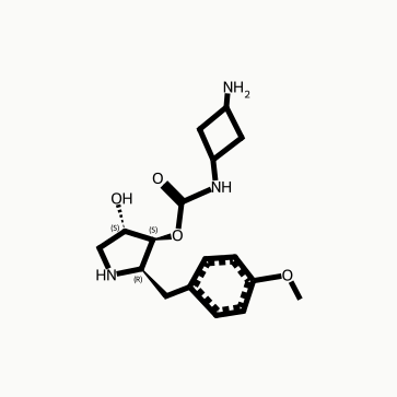 COc1ccc(C[C@H]2NC[C@H](O)[C@H]2OC(=O)NC2CC(N)C2)cc1